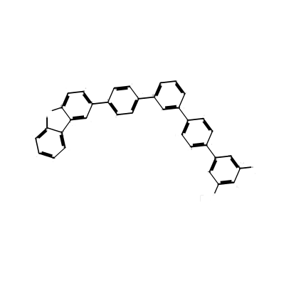 FC(F)(F)c1cc(-c2ccc(-c3cccc(-c4ccc(-c5ccc6oc7ccccc7c6c5)cc4)c3)cc2)cc(C(F)(F)F)c1